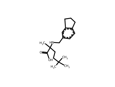 CC(C)(C)CCC(C)(NCc1ccc2c(c1)CCC2)C(=O)O